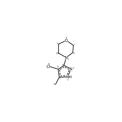 Cc1[nH]nc(N2CCOCC2)c1Cl